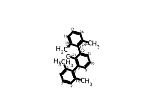 Cc1cccc(C)c1-c1[c]ccc(-c2c(C)cccc2C)c1C